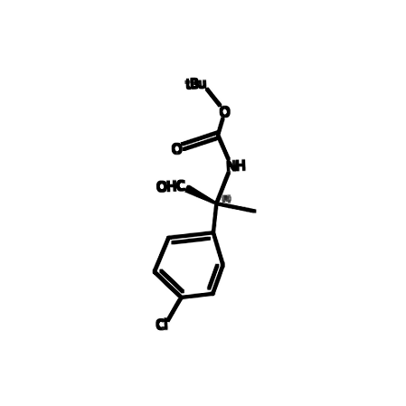 CC(C)(C)OC(=O)N[C@@](C)(C=O)c1ccc(Cl)cc1